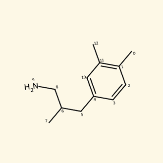 Cc1ccc(CC(C)CN)cc1C